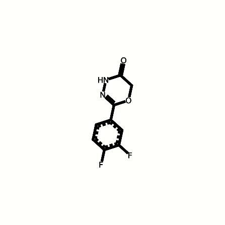 O=C1COC(c2ccc(F)c(F)c2)=NN1